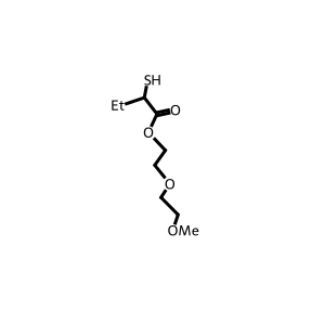 CCC(S)C(=O)OCCOCCOC